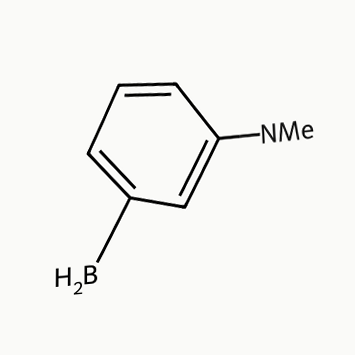 Bc1cccc(NC)c1